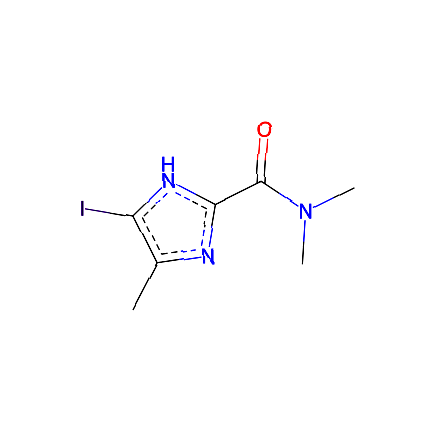 Cc1nc(C(=O)N(C)C)[nH]c1I